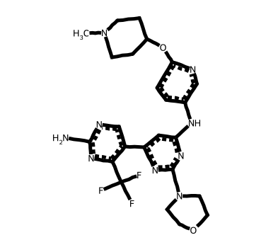 CN1CCC(Oc2ccc(Nc3cc(-c4cnc(N)nc4C(F)(F)F)nc(N4CCOCC4)n3)cn2)CC1